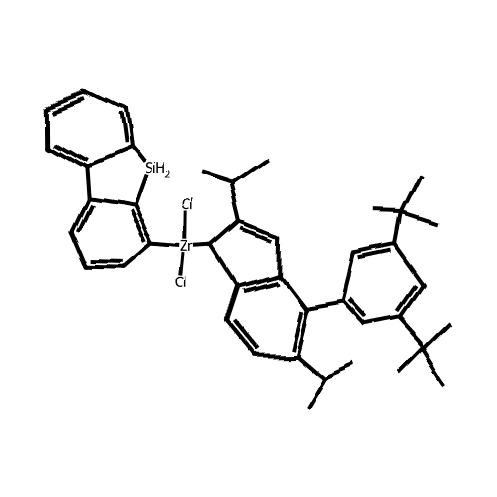 CC(C)C1=Cc2c(ccc(C(C)C)c2-c2cc(C(C)(C)C)cc(C(C)(C)C)c2)[CH]1[Zr]([Cl])([Cl])[c]1cccc2c1[SiH2]c1ccccc1-2